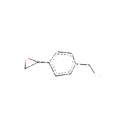 [CH2]Cc1ccc(C2CO2)cc1